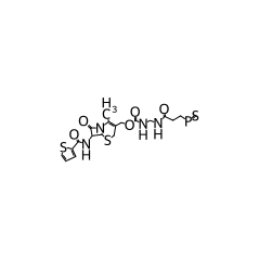 CC1=C(COC(=O)NCNC(=O)CCP=S)CSC2C(NC(=O)c3cccs3)C(=O)N12